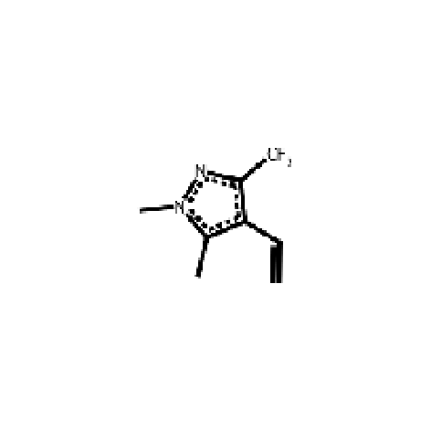 C=Cc1c(C(F)(F)F)nn(C)c1C